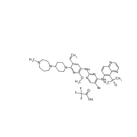 C=Cc1cc(Nc2ncc(Br)c(Nc3ccc4nccnc4c3P(C)(C)=O)n2)c(OC)nc1N1CCC(N2CCCN(C)CC2)CC1.O=C(O)C(F)(F)F